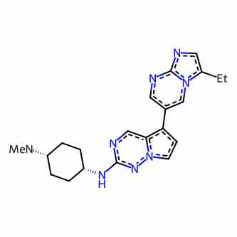 CCc1cnc2ncc(-c3ccn4nc(N[C@H]5CC[C@@H](NC)CC5)ncc34)cn12